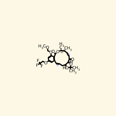 COCOc1cc(OCC(F)(F)F)cc2c1C(=O)O[C@@H](C)[C@H](C)/C=C\C(=O)[C@H]1OC(C)(C)O[C@H]1C/C=C/2